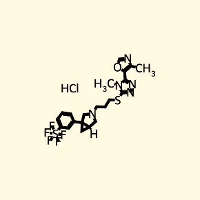 Cc1ncoc1-c1nnc(SCCCN2C[C@@H]3CC3(c3cccc(S(F)(F)(F)(F)F)c3)C2)n1C.Cl